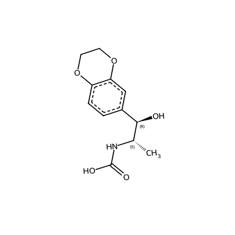 C[C@H](NC(=O)O)[C@H](O)c1ccc2c(c1)OCCO2